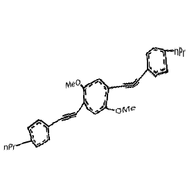 CCCc1ccc(C#Cc2cc(OC)c(C#Cc3ccc(CCC)cc3)cc2OC)cc1